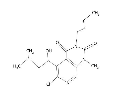 CCCCn1c(=O)c2c(C(O)CC(C)C)c(Cl)ncc2n(C)c1=O